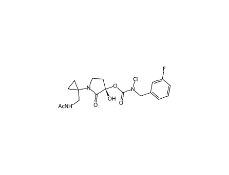 CC(=O)NCC1(N2CC[C@](O)(OC(=O)N(Cl)Cc3cccc(F)c3)C2=O)CC1